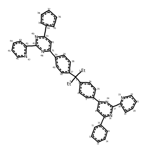 CCC(CC)(c1ccc(-c2cc(-c3ccccc3)nc(-c3ccccn3)n2)cc1)c1ccc(-c2cc(-c3ccccc3)nc(-c3ccccn3)n2)cc1